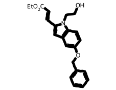 CCOC(=O)C=Cc1cc2cc(OCc3ccccc3)ccc2n1CCO